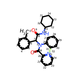 Cc1ccccc1C(C(=O)NC1CCCCC1)N(C(=O)c1ccccn1)c1ccccc1F